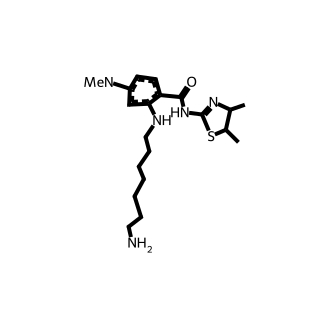 CNc1ccc(C(=O)NC2=NC(C)C(C)S2)c(NCCCCCCCN)c1